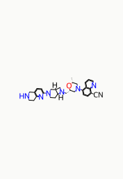 C[C@@H]1CN(c2ccc(C#N)c3ncccc23)C[C@H](CN2C[C@H]3CN(c4ccc5c(n4)CCNC5)CC[C@H]32)O1